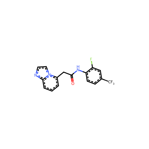 O=C(Cc1cccc2nccn12)Nc1ccc(C(F)(F)F)cc1F